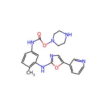 Cc1ccc(NC(=O)ON2CCNCC2)cc1Nc1ncc(-c2cccnc2)o1